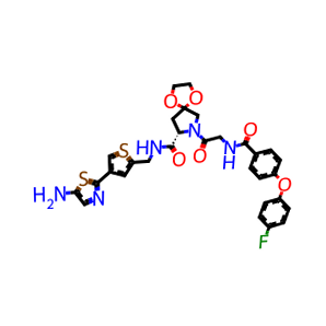 Nc1cnc(-c2csc(CNC(=O)[C@@H]3CC4(CN3C(=O)CNC(=O)c3ccc(Oc5ccc(F)cc5)cc3)OCCO4)c2)s1